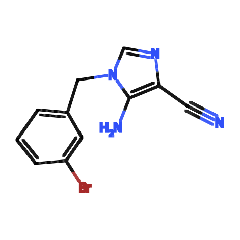 N#Cc1ncn(Cc2cccc(Br)c2)c1N